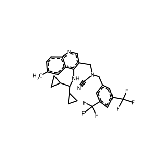 Cc1ccc2ncc(CN(C#N)Cc3cc(C(F)(F)F)cc(C(F)(F)F)c3)c(NC(C3CC3)C3CC3)c2c1